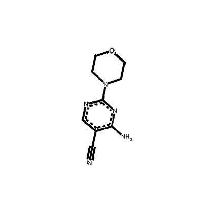 N#Cc1cnc(N2CCOCC2)nc1N